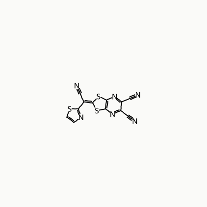 N#CC(=C1Sc2nc(C#N)c(C#N)nc2S1)c1nccs1